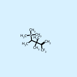 C=C(C(F)(F)F)C(C)(C)C(C)[Si](C)(C)C